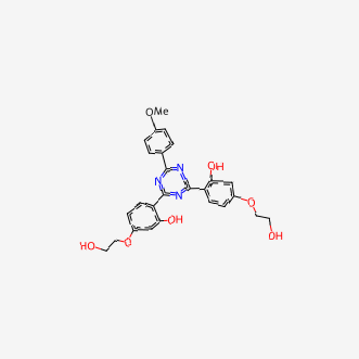 COc1ccc(-c2nc(-c3ccc(OCCO)cc3O)nc(-c3ccc(OCCO)cc3O)n2)cc1